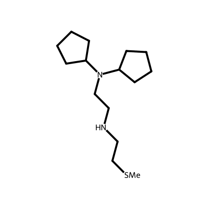 CSCCNCCN(C1CCCC1)C1CCCC1